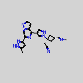 CN=C[C@H]1C[C@](CC#N)(n2cc(-c3nc(-c4cc(C)[nH]n4)cn4nccc34)cn2)C1